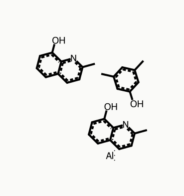 Cc1cc(C)cc(O)c1.Cc1ccc2cccc(O)c2n1.Cc1ccc2cccc(O)c2n1.[Al]